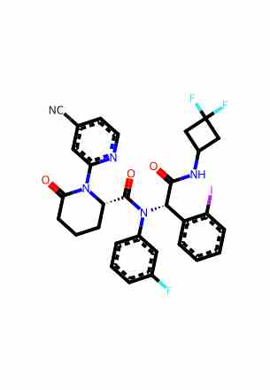 N#Cc1ccnc(N2C(=O)CCC[C@H]2C(=O)N(c2cccc(F)c2)[C@H](C(=O)NC2CC(F)(F)C2)c2ccccc2I)c1